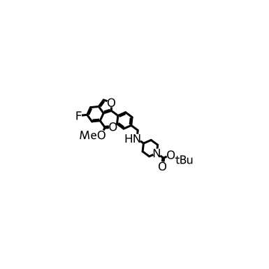 COC(=O)c1cc(F)cc2coc(-c3ccc(CNC4CCN(C(=O)OC(C)(C)C)CC4)cc3)c12